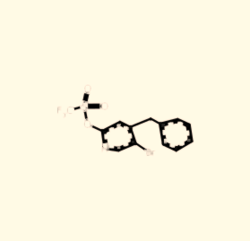 O=S(=O)(Oc1cc(Cc2ccccc2)c(Br)cn1)C(F)(F)F